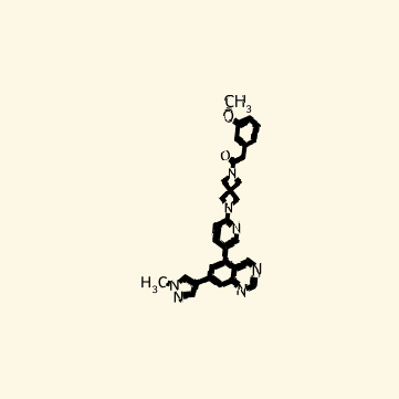 COc1cccc(CC(=O)N2CC3(C2)CN(c2ccc(-c4cc(-c5cnn(C)c5)cc5ncncc45)cn2)C3)c1